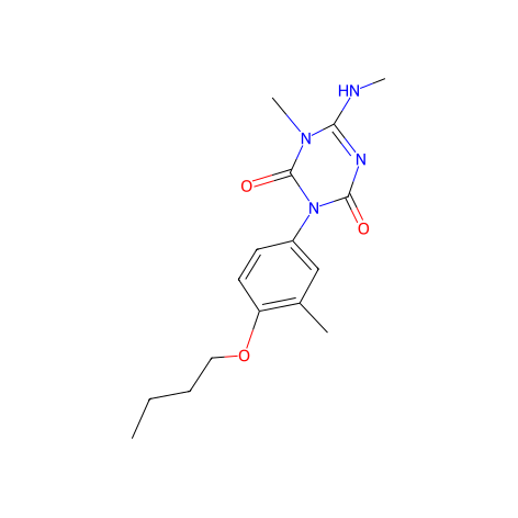 CCCCOc1ccc(-n2c(=O)nc(NC)n(C)c2=O)cc1C